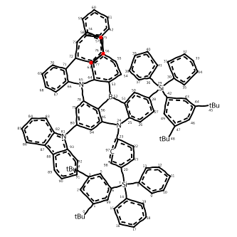 CC(C)(C)c1cc(C(C)(C)C)cc([Si](c2ccccc2)(c2ccccc2)c2ccc(N3c4ccc([Si](c5ccccc5)(c5ccccc5)c5cc(C(C)(C)C)cc(C(C)(C)C)c5)cc4B4c5ccc(-c6ccccc6)cc5N(c5ccccc5-c5ccccc5)c5cc(-n6c7ccccc7c7ccccc76)cc3c54)cc2)c1